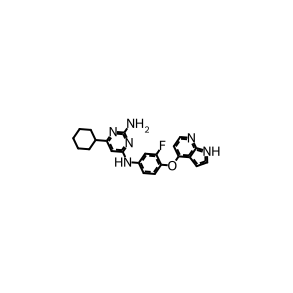 Nc1nc(Nc2ccc(Oc3ccnc4[nH]ccc34)c(F)c2)cc(C2CCCCC2)n1